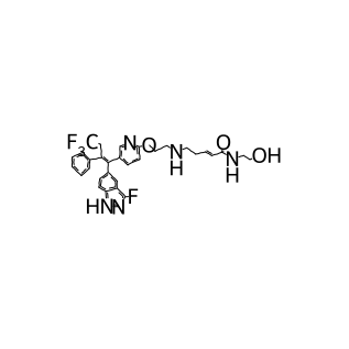 O=C(/C=C/CCNCCOc1ccc(/C(=C(\CC(F)(F)F)c2ccccc2)c2ccc3[nH]nc(F)c3c2)cn1)NCCO